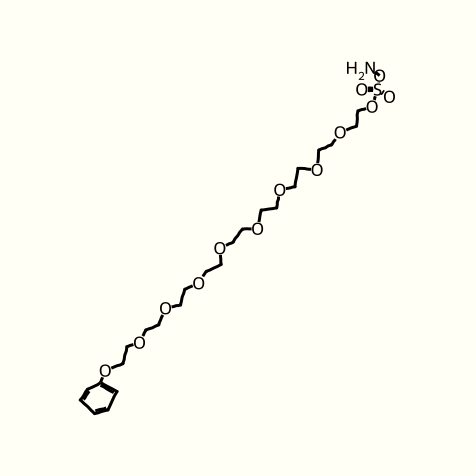 NOS(=O)(=O)OCCOCCOCCOCCOCCOCCOCCOCCOCCOc1ccccc1